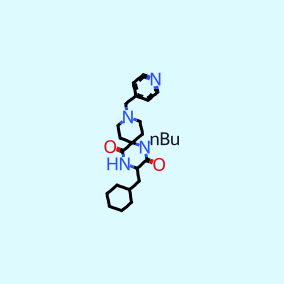 CCCCN1C(=O)C(CC2CCCCC2)NC(=O)C12CCN(Cc1ccncc1)CC2